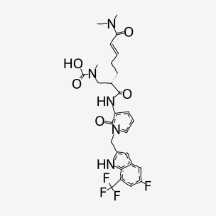 CN(C)C(=O)/C=C/CC[C@@H](CN(C)C(=O)O)C(=O)Nc1cccn(Cc2cc3cc(F)cc(C(F)(F)F)c3[nH]2)c1=O